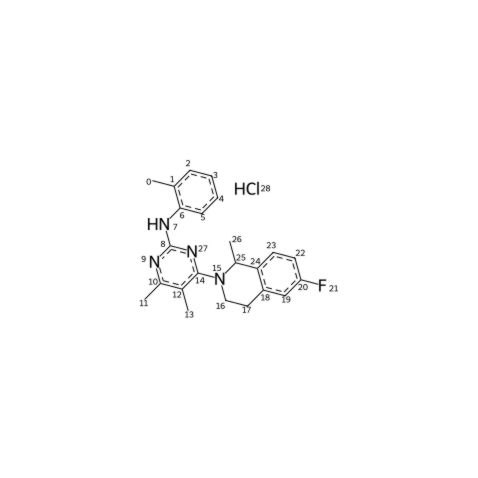 Cc1ccccc1Nc1nc(C)c(C)c(N2CCc3cc(F)ccc3C2C)n1.Cl